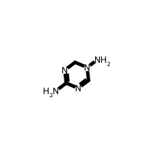 NC1=NCN(N)C=N1